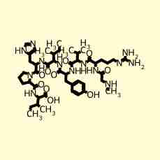 CCC(C)C(NC(=O)C1CCCN1C(=O)C(Cc1cnc[nH]1)NC(=O)C(NC(=O)C(Cc1ccc(O)cc1)NC(=O)C(NC(=O)C(CCCN=C(N)N)NC(=O)CNC)C(C)C)C(C)CC)C(=O)O